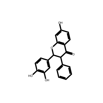 O=C1c2ccc(O)cc2OC(c2ccc(O)c(O)c2)C1c1ccccc1